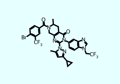 Cc1cc(C2CC2)nn1-c1nc2c(c(=O)n1-c1ccc3c(c1)ncn3CC(F)(F)F)CC(C)N(C(=O)c1ccc(Br)c(C(F)(F)F)c1)C2